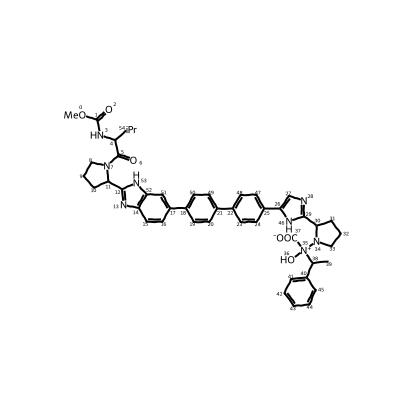 COC(=O)NC(C(=O)N1CCCC1c1nc2ccc(-c3ccc(-c4ccc(-c5cnc(C6CCCN6[N+](O)(C(=O)[O-])C(C)c6ccccc6)[nH]5)cc4)cc3)cc2[nH]1)C(C)C